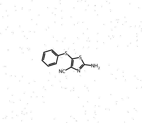 N#Cc1nc(N)sc1Sc1ccccc1